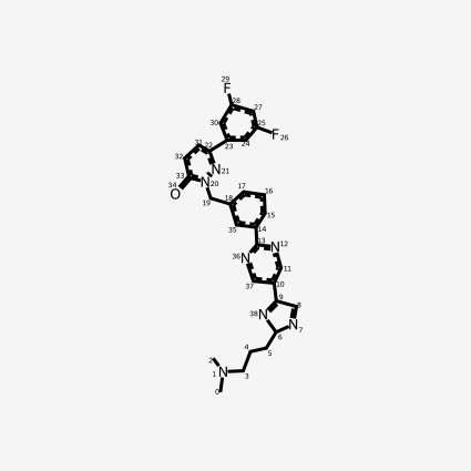 CN(C)CCCC1N=CC(c2cnc(-c3cccc(Cn4nc(-c5cc(F)cc(F)c5)ccc4=O)c3)nc2)=N1